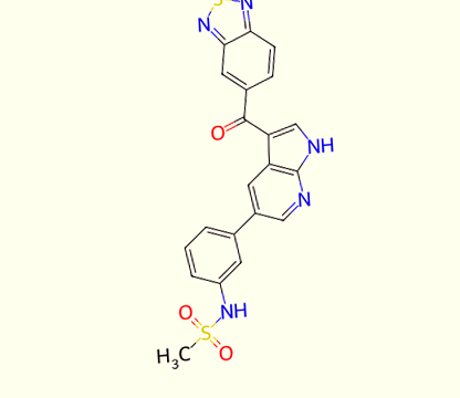 CS(=O)(=O)Nc1cccc(-c2cnc3[nH]cc(C(=O)c4ccc5nsnc5c4)c3c2)c1